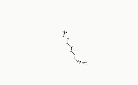 [CH2]CCCCCCCCCCOCC